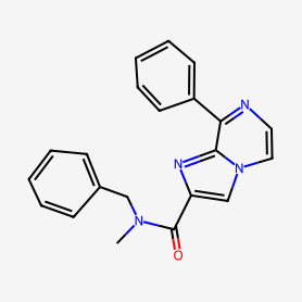 CN(Cc1ccccc1)C(=O)c1cn2ccnc(-c3ccccc3)c2n1